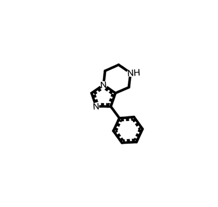 c1ccc(-c2ncn3c2CNCC3)cc1